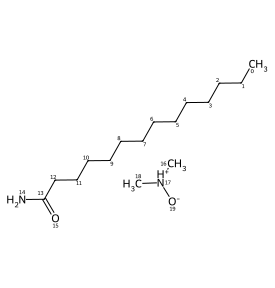 CCCCCCCCCCCCCC(N)=O.C[NH+](C)[O-]